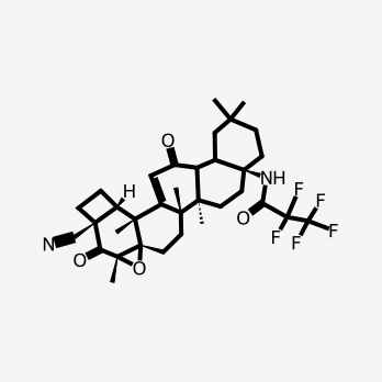 CC1(C)CC[C@]2(NC(=O)C(F)(F)C(F)(F)F)CC[C@]3(C)C(C(=O)C=C4[C@@]5(C)[C@H]6CC[C@@]6(C#N)C(=O)[C@@]6(C)O[C@@]56CC[C@]43C)C2C1